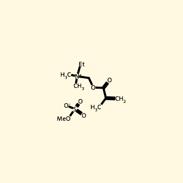 C=C(C)C(=O)OC[N+](C)(C)CC.COS(=O)(=O)[O-]